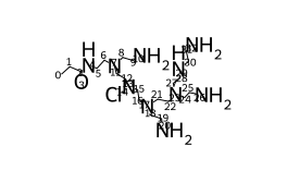 CCC(=O)NCCN(CCN)CCN(Cl)CCN(CCN)CCN(CCN)CCNCCN